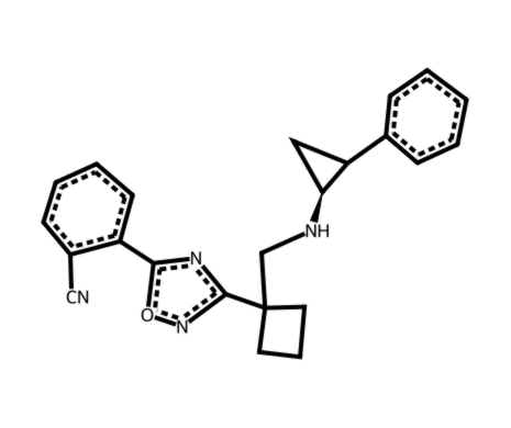 N#Cc1ccccc1-c1nc(C2(CN[C@H]3CC3c3ccccc3)CCC2)no1